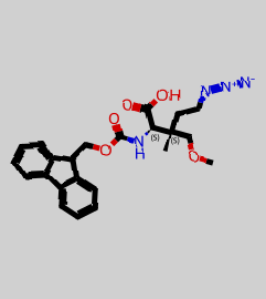 COC[C@@](C)(CCN=[N+]=[N-])[C@H](NC(=O)OCC1c2ccccc2-c2ccccc21)C(=O)O